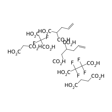 C=CCC(C(=O)O)C(=O)O.C=CCC(CC(=O)O)C(=O)O.O=C(O)C(F)(F)C(=O)O.O=C(O)C(F)(F)C(F)(F)C(=O)O.O=C(O)CC(=O)O.O=C(O)CCC(=O)O